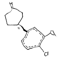 Clc1ccc([C@H]2CCNC2)cc1Cl